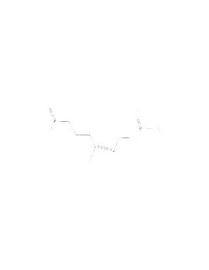 C=C(C)CCCC(C)=CCOC(=O)CC